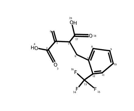 C=C(C(=O)O)C(Cc1ccccc1C(F)(F)F)C(=O)O